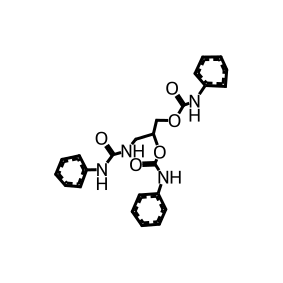 O=C(NCC(COC(=O)Nc1ccccc1)OC(=O)Nc1ccccc1)Nc1ccccc1